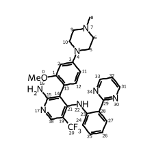 COc1cc(N2CCN(C)CC2)ccc1-c1c(N)ncc(C(F)(F)F)c1Nc1ccccc1-c1ncccn1